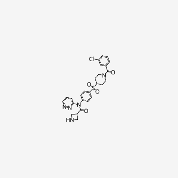 O=C(c1cccc(Cl)c1)N1CCC(S(=O)(=O)c2ccc(N(C(=O)C3CNC3)c3cccnn3)cc2)CC1